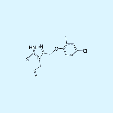 C=CCn1c(COc2ccc(Cl)cc2C)n[nH]c1=S